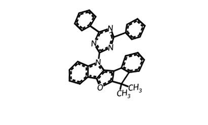 CC1(C)c2ccccc2-c2c1oc1c3ccccc3n(-c3nc(-c4ccccc4)nc(-c4ccccc4)n3)c21